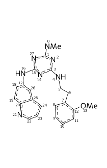 CNc1nc(NCCc2ccccc2OC)nc(Nc2ccc3ncccc3c2)n1